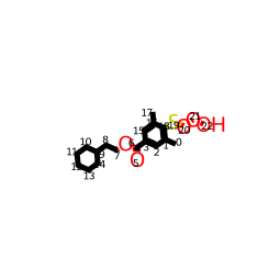 Cc1cc(C(=O)OCCC2CCCCC2)cc(C)c1SOOO